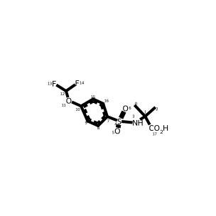 CC(C)(NS(=O)(=O)c1ccc(OC(F)F)cc1)C(=O)O